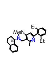 CCc1cccc(CC)c1-c1cc(NC)c(CN(C)[C@H]2CCCc3ccccc32)c(C)n1